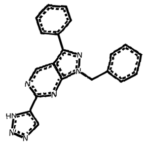 c1ccc(Cn2nc(-c3ccccc3)c3cnc(-c4cnn[nH]4)nc32)cc1